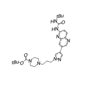 CC(C)(C)NC(=O)Nc1ccc2ncc(-c3cnn(CCCN4CCN(C(=O)OC(C)(C)C)CC4)c3)cc2n1